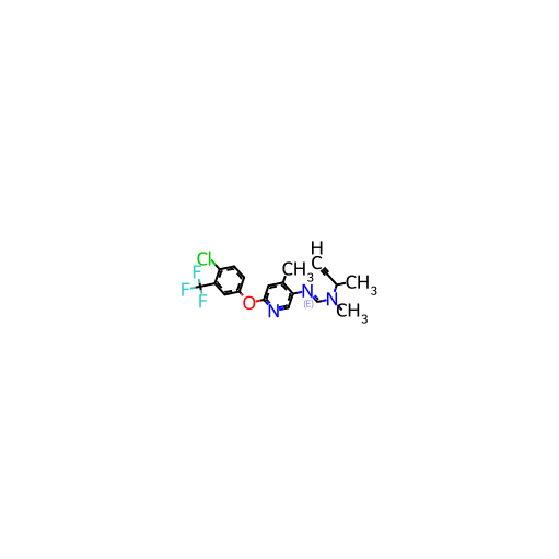 C#CC(C)N(C)/C=N/c1cnc(Oc2ccc(Cl)c(C(F)(F)F)c2)cc1C